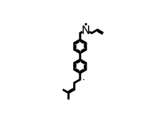 C=CCN(C)Cc1ccc(-c2ccc([CH]CC=C(C)C)cc2)cc1